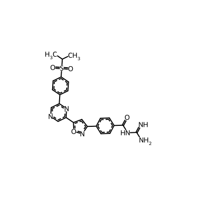 CC(C)S(=O)(=O)c1ccc(-c2cncc(-c3cc(-c4ccc(C(=O)NC(=N)N)cc4)no3)n2)cc1